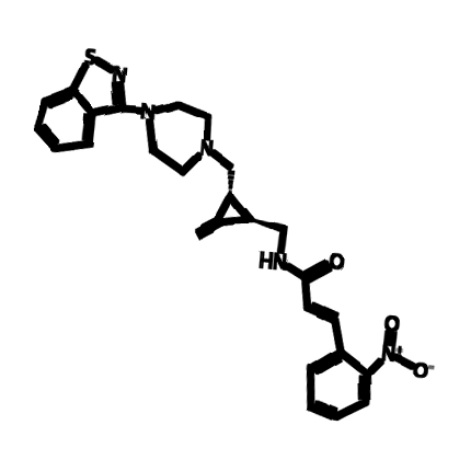 C=C1[C@H](CNC(=O)/C=C/c2ccccc2[N+](=O)[O-])[C@H]1CN1CCN(c2nsc3ccccc23)CC1